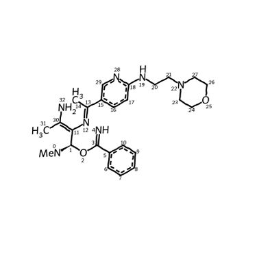 CN[C@H](OC(=N)c1ccccc1)C(/N=C(\C)c1ccc(NCCN2CCOCC2)nc1)=C(\C)N